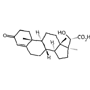 C[C@]12CCC(=O)C=C1CC[C@@H]1[C@@H]2CC[C@@]2(C)[C@H]1CC[C@]2(C)[C@H](O)C(=O)O